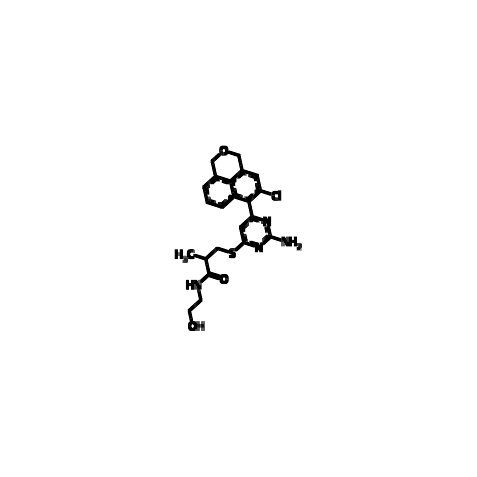 CC(CSc1cc(-c2c(Cl)cc3c4c(cccc24)COC3)nc(N)n1)C(=O)NCCO